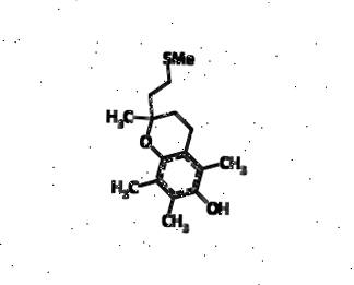 CSCCC1(C)CCc2c(C)c(O)c(C)c(C)c2O1